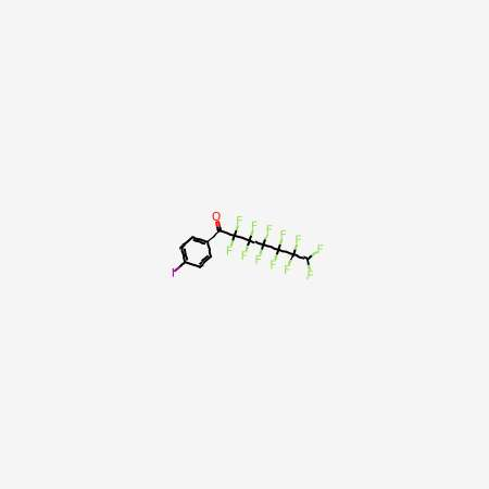 O=C(c1ccc(I)cc1)C(F)(F)C(F)(F)C(F)(F)C(F)(F)C(F)(F)C(F)F